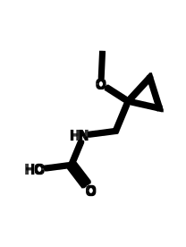 COC1(CNC(=O)O)CC1